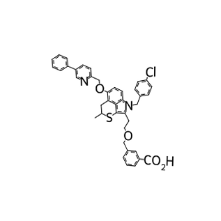 CC1Cc2c(OCc3ccc(-c4ccccc4)cn3)ccc3c2c(c(CCOCc2cccc(C(=O)O)c2)n3Cc2ccc(Cl)cc2)S1